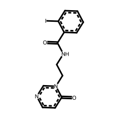 O=C(NCCn1cnccc1=O)c1ccccc1I